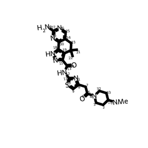 CNC1CCN(C(=O)Cc2csc(NC(=O)c3n[nH]c4c3C(C)(C)Cc3cnc(N)nc3-4)n2)CC1